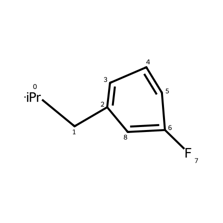 C[C](C)Cc1cccc(F)c1